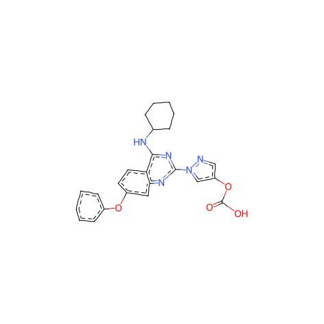 O=C(O)Oc1cnn(-c2nc(NC3CCCCC3)c3ccc(Oc4ccccc4)cc3n2)c1